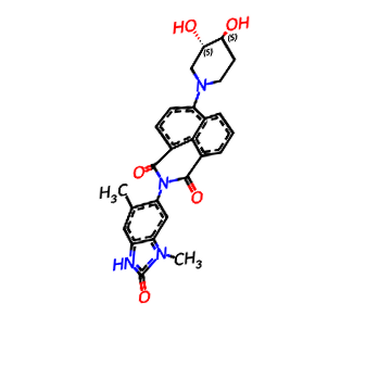 Cc1cc2[nH]c(=O)n(C)c2cc1N1C(=O)c2cccc3c(N4CC[C@H](O)[C@@H](O)C4)ccc(c23)C1=O